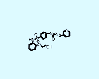 O=C(NCc1cccnc1)Nc1ccc(S(=O)(=O)Nc2ccccc2OCCO)cc1